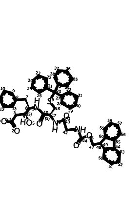 COC(=O)C[C@H](O)[C@@H](Cc1ccccc1)NC(=O)[C@@H](CSC(c1ccccc1)(c1ccccc1)c1ccccc1)NC(=O)CNC(=O)OCC1c2ccccc2-c2ccccc21